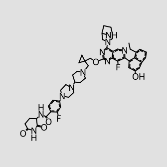 CCc1cccc2cc(O)cc(-c3ncc4c(N5CC6CCC(C5)N6)nc(OCC5(CN6CCC(N7CCN(c8ccc(C(=O)NC9CCC(=O)NC9=O)c(F)c8)CC7)CC6)CC5)nc4c3F)c12